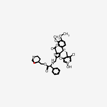 COc1ccc([C@H](Cc2c(Cl)c[n+](O)cc2Cl)c2cc(CNC(C(=O)OCC34CCN(CC3)CC4)c3ccccc3)sc2C(=O)[O-])cc1OC